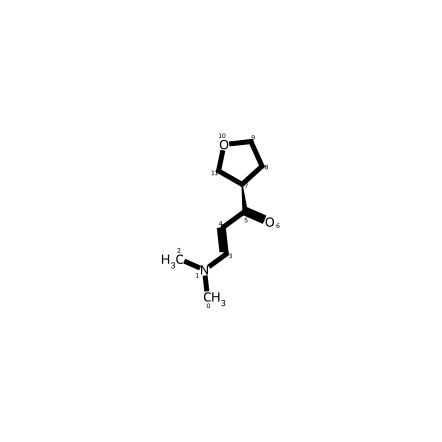 CN(C)/C=C/C(=O)[C@@H]1CCOC1